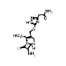 NC(=O)Cc1n[nH]c(SCC2=C(C(=O)O)N3C(=O)C(N)[C@H]3SC2)n1